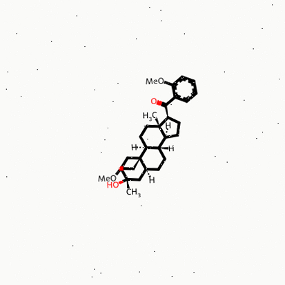 COCC[C@]12CC[C@@](C)(O)C[C@@H]1CC[C@H]1[C@@H]3CC[C@H](C(=O)c4ccccc4OC)[C@@]3(C)CC[C@@H]12